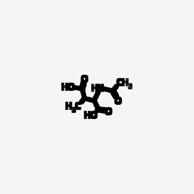 CC(=O)NC(C(=O)O)C(C)C(=O)O